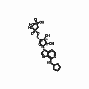 O=P(O)(O)CP(=O)(O)OC[C@H]1O[C@@H](n2cnc3c(NC4CCCC4)ncnc32)[C@H](O)[C@@H]1O